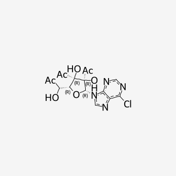 CC(=O)C(O)[C@H]1O[C@@H](n2cnc3c(Cl)ncnc32)[C@@](O)(C(C)=O)[C@@]1(O)C(C)=O